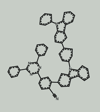 N#Cc1ccc(-c2nc(-c3ccccc3)nc(-c3ccccc3)n2)cc1-c1ccc2c3ccccc3n(-c3ccc(-c4ccc5c(c4)c4ccccc4n5-c4ccccc4)cc3)c2c1